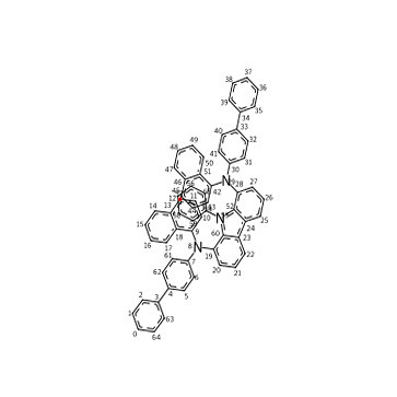 c1ccc(-c2ccc(N(c3cccc4ccccc34)c3cccc4c5cccc(N(c6ccc(-c7ccccc7)cc6)c6cccc7ccccc67)c5n(-c5ccccc5)c34)cc2)cc1